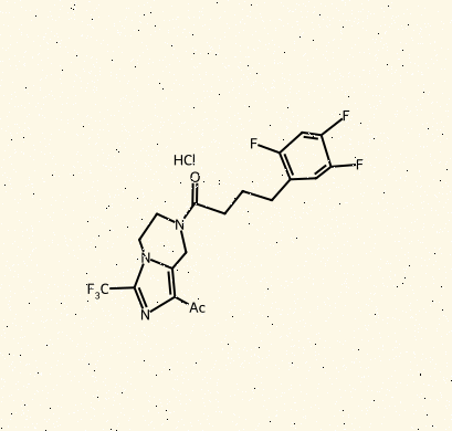 CC(=O)c1nc(C(F)(F)F)n2c1CN(C(=O)CCCc1cc(F)c(F)cc1F)CC2.Cl